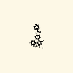 CC1(C)OC(=O)N([C@H]2CC[C@H](NC(=O)c3ccncn3)CC2)[C@H]1c1ccccc1